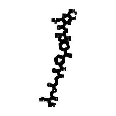 CCCN(CCC)C(=O)COC(=O)CCNC(=O)Nc1cccc(C(=O)N2CCC3(CC2)CN/C(=N\C(=O)c2nc(I)c(N)nc2N)N3)c1